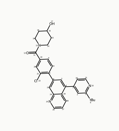 CC(C)(C)c1cc(-c2cc(-c3ccc(C(=O)N4CCC(O)CC4)cc3Cl)cc3ncccc23)ccn1